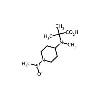 CN(C1CCN([S+](C)[O-])CC1)C(C)(C)C(=O)O